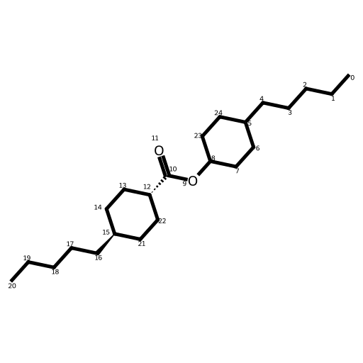 CCCCCC1CCC(OC(=O)[C@H]2CC[C@H](CCCCC)CC2)CC1